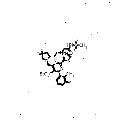 CCOC(=O)C1=C(CN2CC(F)(F)C[C@@H]2CCNCC(=O)NS(C)(=O)=O)NC(c2nccs2)=N[C@H]1c1cccc(F)c1C